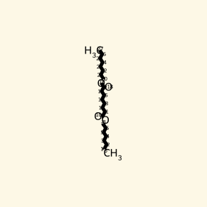 CCCCCCCCOC(=O)CCCCCCC(=O)OCCCCCCCC